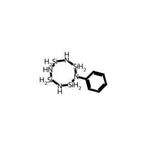 c1ccc(N2[SiH2]N[SiH2]N[SiH2]N[SiH2]2)cc1